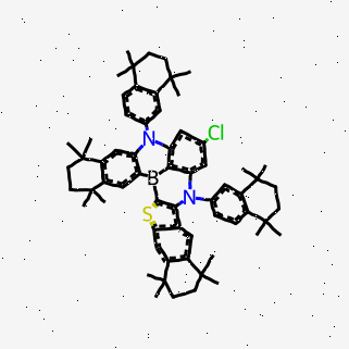 CC1(C)CCC(C)(C)c2cc(N3c4cc5c(cc4B4c6sc7cc8c(cc7c6N(c6ccc7c(c6)C(C)(C)CCC7(C)C)c6cc(Cl)cc3c64)C(C)(C)CCC8(C)C)C(C)(C)CCC5(C)C)ccc21